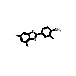 Cc1cc(-c2nc3c(F)cc(F)cc3s2)ccc1N